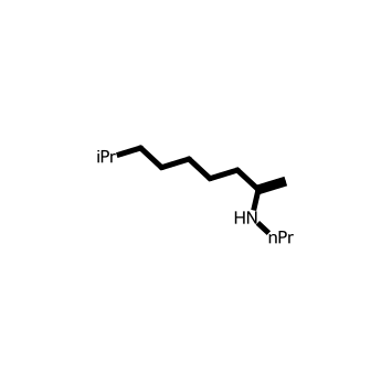 C=C(CCCCCC(C)C)NCCC